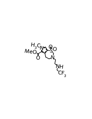 COC(=O)c1c2c(cn1C)S(=O)(=O)CN(CCNCC(F)(F)F)CC2